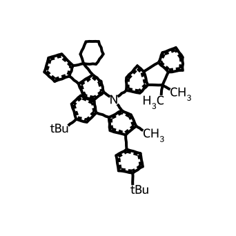 Cc1cc(N(c2ccc3c(c2)C(C)(C)c2ccccc2-3)c2ccc3c(c2)C2(CCCCC2)c2ccccc2-3)c(-c2cccc(C(C)(C)C)c2)cc1-c1ccc(C(C)(C)C)cc1